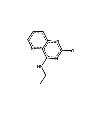 CCNc1nc(Cl)nc2cccnc12